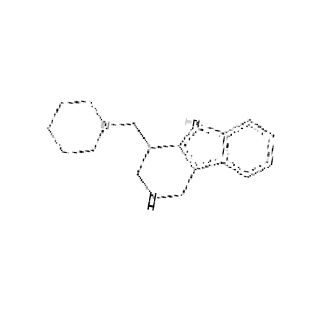 c1ccc2c3c([nH]c2c1)C(CN1CCCCC1)CNC3